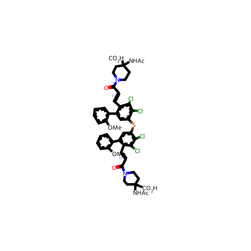 COc1ccccc1-c1cc(Sc2cc(-c3ccccc3OC)c(/C=C/C(=O)N3CCC(NC(C)=O)(C(=O)O)CC3)c(Cl)c2Cl)c(Cl)c(Cl)c1/C=C/C(=O)N1CCC(NC(C)=O)(C(=O)O)CC1